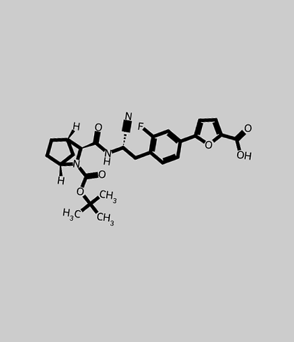 CC(C)(C)OC(=O)N1[C@@H]2CC[C@@H](C2)[C@H]1C(=O)N[C@H](C#N)Cc1ccc(-c2ccc(C(=O)O)o2)cc1F